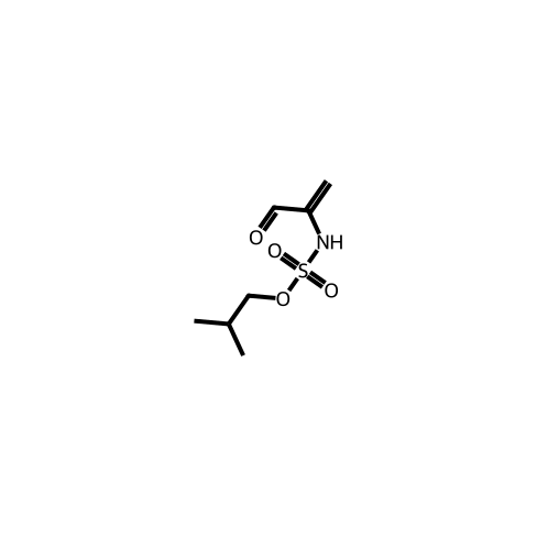 C=C(C=O)NS(=O)(=O)OCC(C)C